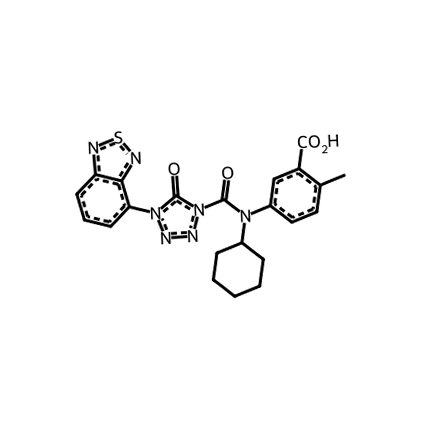 Cc1ccc(N(C(=O)n2nnn(-c3cccc4nsnc34)c2=O)C2CCCCC2)cc1C(=O)O